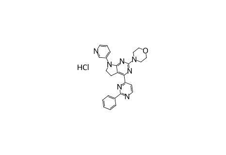 Cl.c1ccc(-c2nccc(-c3nc(N4CCOCC4)nc4c3CCN4c3cccnc3)n2)cc1